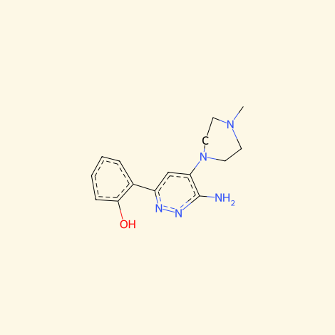 CN1CCN(c2cc(-c3ccccc3O)nnc2N)CC1